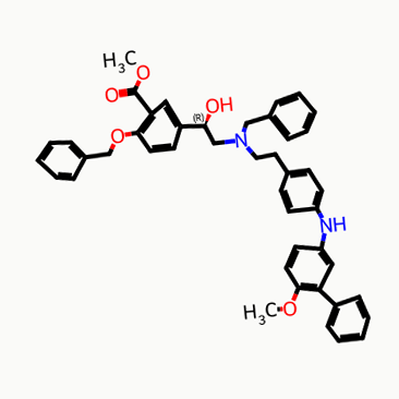 COC(=O)c1cc([C@@H](O)CN(CCc2ccc(Nc3ccc(OC)c(-c4ccccc4)c3)cc2)Cc2ccccc2)ccc1OCc1ccccc1